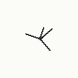 CCCCCCCCCCCC[N+](CCCCCCCCC)(CCCCCCCCCCCC)CCCCCCCCCCCC